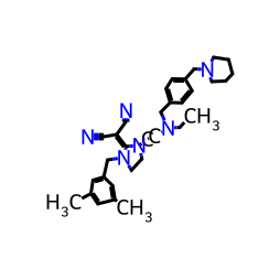 CCN(CCN1CCN(Cc2cc(C)cc(C)c2)C1=C(C#N)C#N)Cc1ccc(CN2CCCCC2)cc1